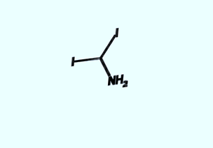 NC(I)I